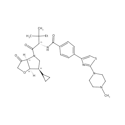 CCC(C)(C)[C@H](NC(=O)c1ccc(-c2csc(N3CCN(C)CC3)n2)cc1)C(=O)N1C[C@@H](C2CC2)[C@H]2OCC(=O)[C@H]21